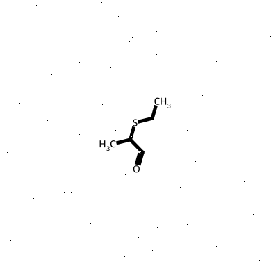 CCSC(C)C=O